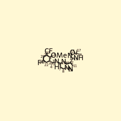 COc1c([C@@H](C)Nc2ccn3ncc(C4=NOC(C)(C)N4)c3n2)cc(F)cc1C(F)(F)F